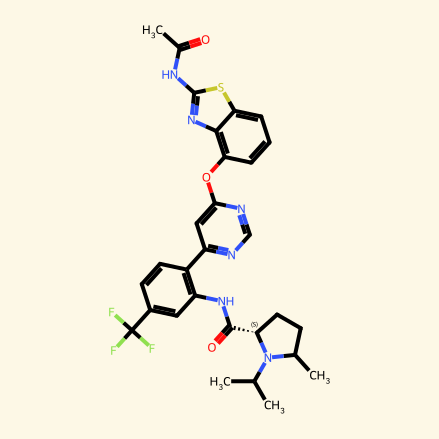 CC(=O)Nc1nc2c(Oc3cc(-c4ccc(C(F)(F)F)cc4NC(=O)[C@@H]4CCC(C)N4C(C)C)ncn3)cccc2s1